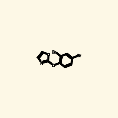 Brc1ccc(Oc2n[c]co2)c(Br)c1